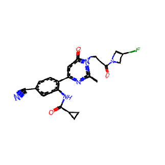 Cc1nc(-c2ccc(C#N)cc2NC(=O)C2CC2)cc(=O)n1CC(=O)N1CC(F)C1